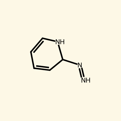 N=NC1C=CC=CN1